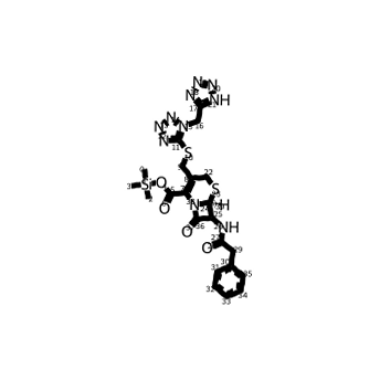 C[Si](C)(C)OC(=O)C1=C(CSc2nnnn2Cc2nnn[nH]2)CS[C@H]2C(NC(=O)Cc3ccccc3)C(=O)N12